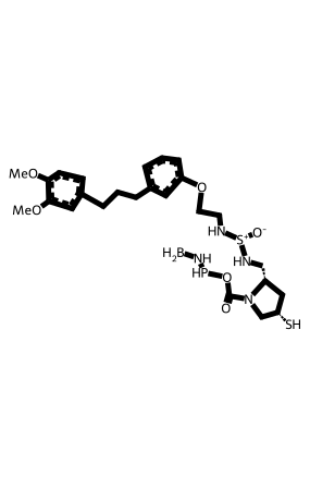 BNPOC(=O)N1C[C@@H](S)C[C@H]1CN[S+]([O-])NCCOc1cccc(CCCc2ccc(OC)c(OC)c2)c1